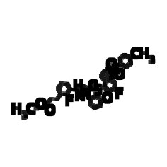 CCOC(=O)CCc1cccc(-c2ccn(-c3cccc(Oc4c(F)cc5c(ccn5S(=O)(=O)c5ccc(C)cc5)c4SC)c3)n2)c1F